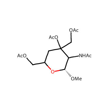 CO[C@@H]1OC(COC(C)=O)CC(COC(C)=O)(OC(C)=O)C1NC(C)=O